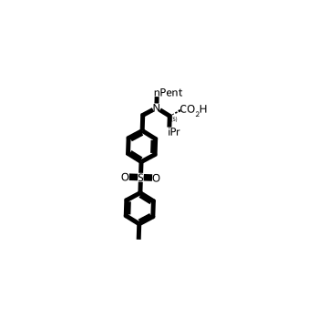 CCCCCN(Cc1ccc(S(=O)(=O)c2ccc(C)cc2)cc1)[C@H](C(=O)O)C(C)C